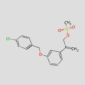 C=C(COS(C)(=O)=O)c1cccc(OCc2ccc(Cl)cc2)c1